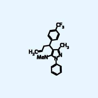 C=CCC(c1ccc(C(F)(F)F)cc1)c1c(C)nn(-c2ccccc2)c1NC